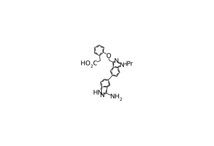 CC(C)n1nc(COc2ccccc2CC(=O)O)c2cc(-c3ccc4[nH]nc(N)c4c3)ccc21